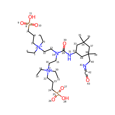 CC[N+](CC)(CCCS(=O)(=O)O)CCN(CC[N+](CC)(CC)CCCS(=O)(=O)O)C(=O)NC1CC(C)(C)CC(C)(CN=C=O)C1